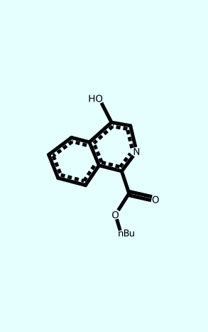 CCCCOC(=O)c1ncc(O)c2ccccc12